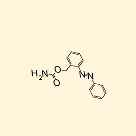 NC(=O)OCc1ccccc1/N=N/c1ccccc1